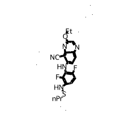 CCCSNc1ccc(F)c(Nc2ccc3ncc(OCC)nc3c2C#N)c1F